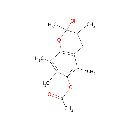 CC(=O)Oc1c(C)c(C)c2c(c1C)CC(C)C(C)(O)O2